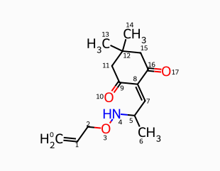 C=CCONC(C)C=C1C(=O)CC(C)(C)CC1=O